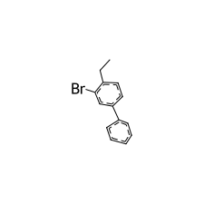 CCc1ccc(-c2ccccc2)cc1Br